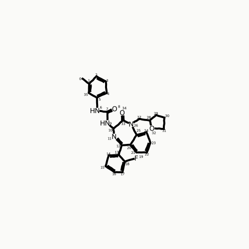 Cc1cccc(NC(=O)NC2N=C(c3ccccc3F)c3ccccc3N(CC3CCCO3)C2=O)c1